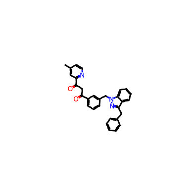 Cc1ccnc(C(=O)CC(=O)c2cccc(Cn3nc(Cc4ccccc4)c4ccccc43)c2)c1